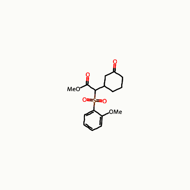 COC(=O)C(C1CCCC(=O)C1)S(=O)(=O)c1ccccc1OC